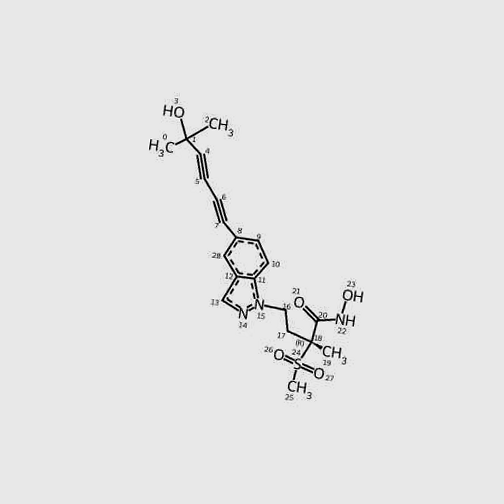 CC(C)(O)C#CC#Cc1ccc2c(cnn2CC[C@](C)(C(=O)NO)S(C)(=O)=O)c1